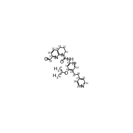 CC(C)Oc1cc(NC(=O)N2CCCc3ccc(C=O)nc32)ncc1CCc1ccncc1